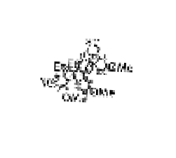 CCC1(CC)c2cc(C#N)ccc2-c2c1c1c(c3cc(OC)c(OC)cc23)OC(C2=CC=CCC2)(c2ccc(OC)cc2)C=C1